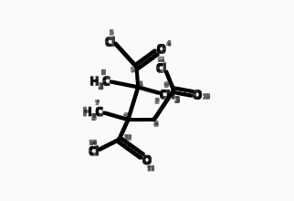 CC(C)(C(=O)Cl)C(C)(CC(=O)Cl)C(=O)Cl